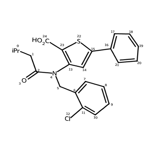 CC(C)CC(=O)N(Cc1ccccc1Cl)c1cc(-c2ccccc2)sc1C(=O)O